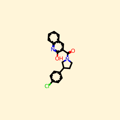 O=C(c1cc2ccccc2nc1O)N1CCC(c2ccc(Cl)cc2)C1